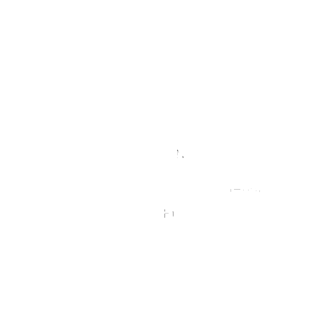 CCCCCCCC(CC)=NC1CCCCCCC1